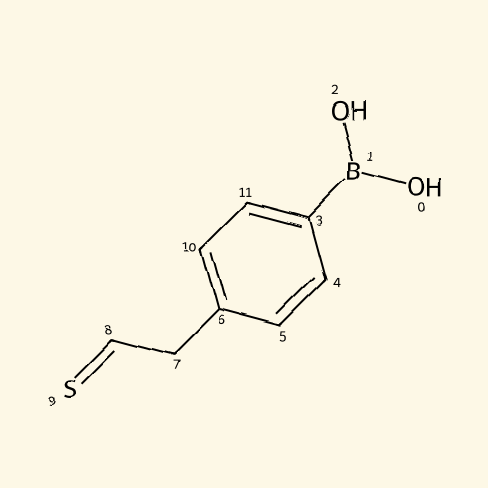 OB(O)c1ccc(CC=S)cc1